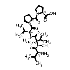 CC(C)[C@H](N)C(=O)N(C)[C@](C)(C(=O)N(C)[C@H](C(=O)N1CCC[C@H]1C(=O)N1CCC[C@H]1C(=O)O)C(C)C)C(C)C